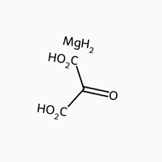 O=C(O)C(=O)C(=O)O.[MgH2]